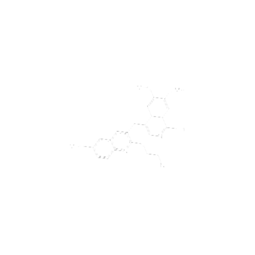 CCCC1=NC=C(Cc2cc3cc(OC)ccc3nc2OCCN)C2C=C(OC)C(OC)=CC12